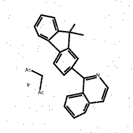 CC(=O)CC(C)=O.CC1(C)c2ccccc2-c2ccc(-c3nccc4ccccc34)cc21.[Ir]